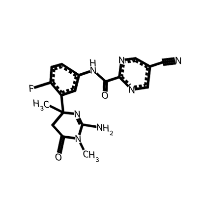 CN1C(=O)CC(C)(c2cc(NC(=O)c3ncc(C#N)cn3)ccc2F)N=C1N